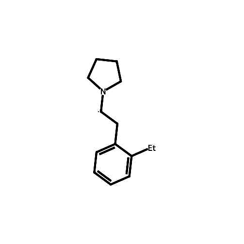 CCc1ccccc1C[CH]N1CCCC1